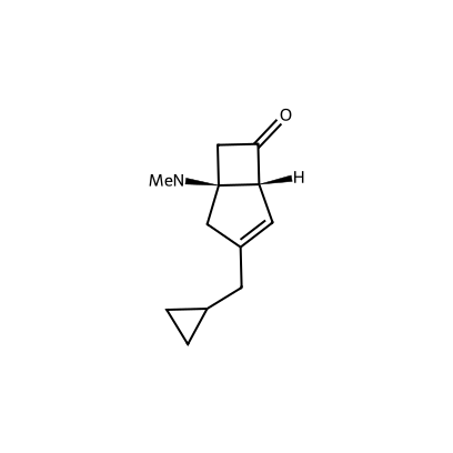 CN[C@@]12CC(=O)[C@@H]1C=C(CC1CC1)C2